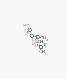 Cc1cc([C@H]2OC(=O)N(Cc3cc(C)ccc3-c3cc(-c4ccc(O)cc4C(F)(F)F)ccc3Cl)[C@H]2C)cc(C(F)(F)F)c1